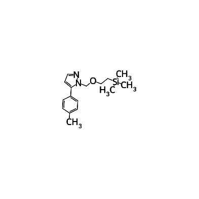 Cc1ccc(-c2ccnn2COCC[Si](C)(C)C)cc1